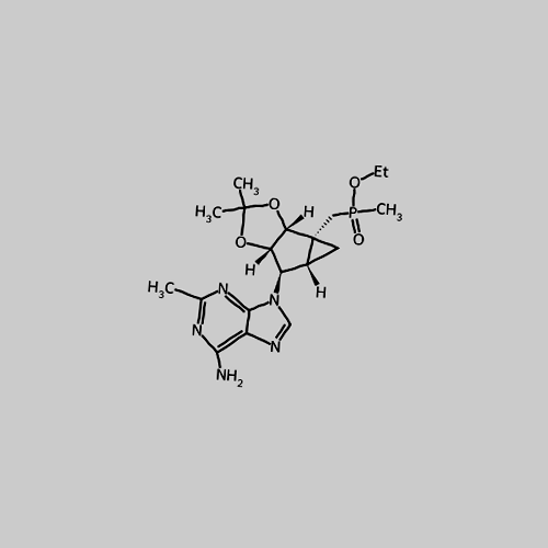 CCOP(C)(=O)C[C@]12C[C@@H]1[C@@H](n1cnc3c(N)nc(C)nc31)[C@@H]1OC(C)(C)O[C@@H]12